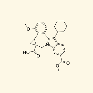 COC(=O)c1ccc2c(C3CCCCC3)c3n(c2c1)CC1(C(=O)O)CC1c1c(OC)cccc1-3